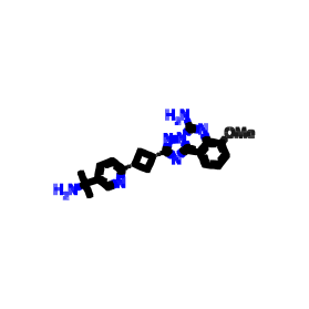 COc1cccc2c1nc(N)n1nc([C@H]3C[C@@H](c4ccc(C(C)(C)N)cn4)C3)nc21